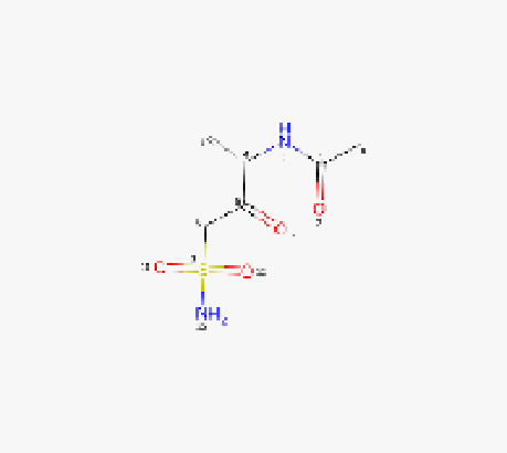 CC(=O)N[C@@H](C)C(=O)CS(N)(=O)=O